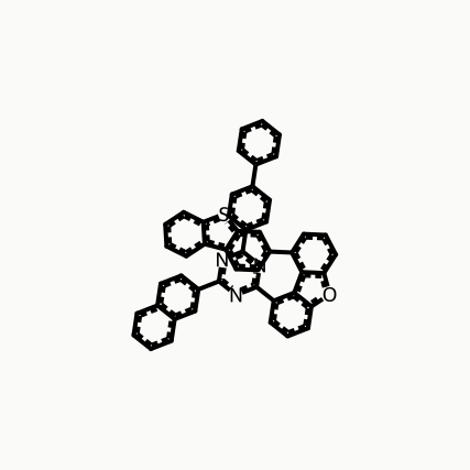 c1ccc(-c2ccc(-c3nc(-c4ccc5ccccc5c4)nc(-c4cccc5oc6cccc(-c7ccc8c(c7)sc7ccccc78)c6c45)n3)cc2)cc1